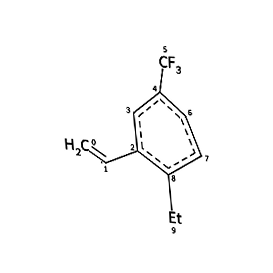 C=[C]c1cc(C(F)(F)F)ccc1CC